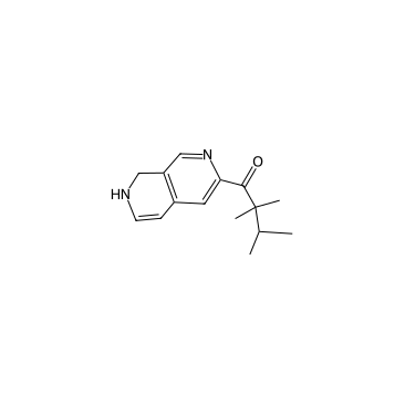 CC(C)C(C)(C)C(=O)c1cc2c(cn1)CNC=C2